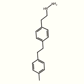 Cc1ccc(CCc2ccc(CCNN)cc2)cc1